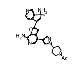 CC(=O)N1CCC(n2cc(-c3cnc(N)c4oc(C5=CC(C)(N)c6cnccc65)cc34)cn2)CC1